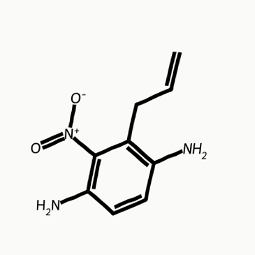 C=CCc1c(N)ccc(N)c1[N+](=O)[O-]